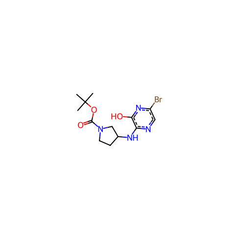 CC(C)(C)OC(=O)N1CCC(Nc2ncc(Br)nc2O)C1